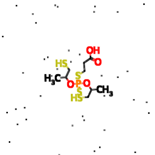 CC(CS)OP(=S)(OC(C)CS)SCCC(=O)O